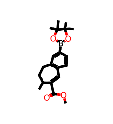 COC(=O)C1=Cc2ccc(B3OC(C)(C)C(C)(C)O3)cc2CCC1C